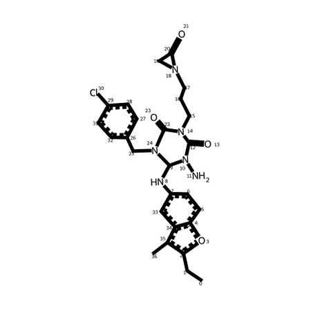 CCc1oc2ccc(NC3N(N)C(=O)N(CCCN4CC4=O)C(=O)N3Cc3ccc(Cl)cc3)cc2c1C